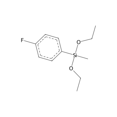 CCO[Si](C)(OCC)c1ccc(F)cc1